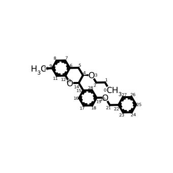 CCCO[C@@H]1Cc2ccc(C)cc2OC1c1cccc(OCc2ccccc2)c1